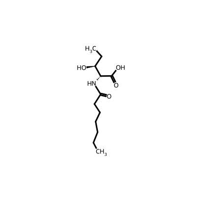 CCCCCCC(=O)N[C@@H](C(=O)O)[C@@H](O)CC